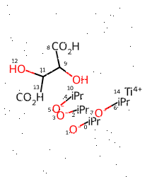 CC(C)[O-].CC(C)[O-].CC(C)[O-].CC(C)[O-].O=C(O)C(O)C(O)C(=O)O.[Ti+4]